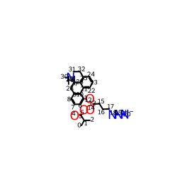 CC(C)C(=O)Oc1ccc2c(c1OC(=O)CCCN=[N+]=[N-])-c1cccc3c1[C@@H](C2)N(C)CC3